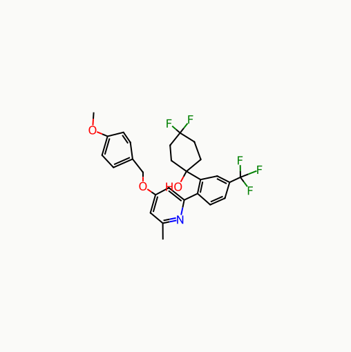 COc1ccc(COc2cc(C)nc(-c3ccc(C(F)(F)F)cc3C3(O)CCC(F)(F)CC3)c2)cc1